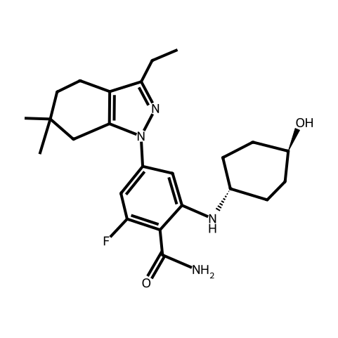 CCc1nn(-c2cc(F)c(C(N)=O)c(N[C@H]3CC[C@H](O)CC3)c2)c2c1CCC(C)(C)C2